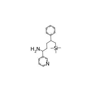 C[Si](C)(C)CC(CCC(N)c1cccnc1)c1ccccc1